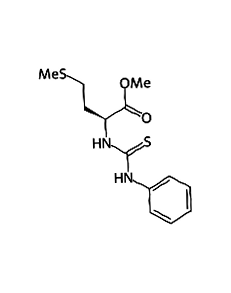 COC(=O)[C@H](CCSC)NC(=S)Nc1ccccc1